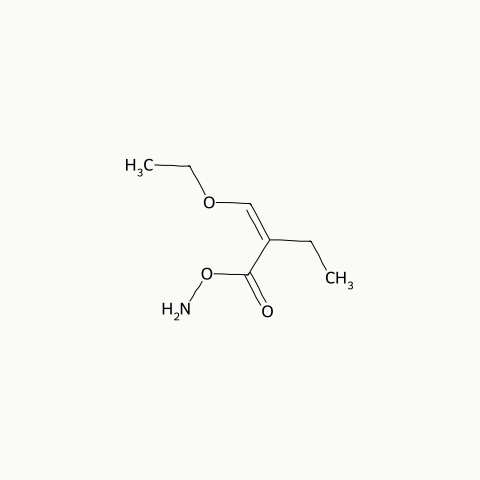 CCOC=C(CC)C(=O)ON